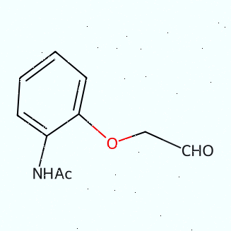 CC(=O)Nc1ccccc1OCC=O